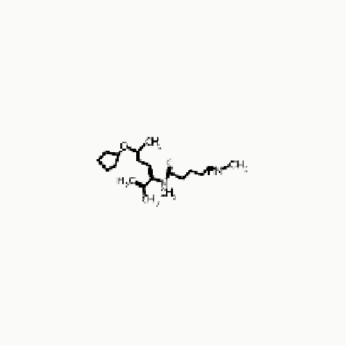 C=C(C)/C(=C\CC(C)OC1CCCC1)N(C)C(=O)CCCCNC